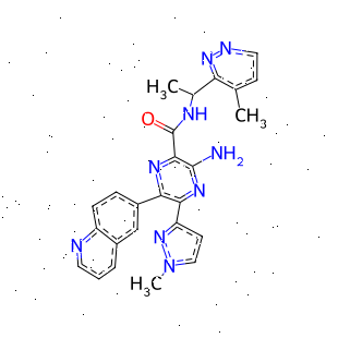 Cc1ccnnc1C(C)NC(=O)c1nc(-c2ccc3ncccc3c2)c(-c2ccn(C)n2)nc1N